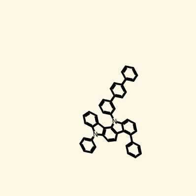 c1ccc(-c2ccc(-c3cccc(-n4c5cccc(-c6ccccc6)c5c5ccc6c(c7ccccc7n6-c6ccccc6)c54)c3)cc2)cc1